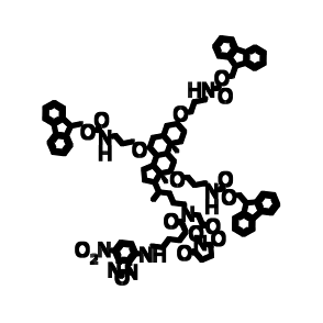 CC(CCCN(CC(=O)ON1C(=O)CCC1=O)C(=O)CCCCCNc1ccc([N+](=O)[O-])c2nonc12)C1CCC2C3C(C[C@H](OCCCNC(=O)OCC4c5ccccc5-c5ccccc54)[C@]12C)[C@@]1(C)CC[C@@H](OCCCNC(=O)OCC2c4ccccc4-c4ccccc42)CC1C[C@H]3OCCCNC(=O)OCC1c2ccccc2-c2ccccc21